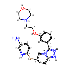 Nc1ccc(Sc2ccc3nnc(-c4cccc(OCCN5CCOCC5)c4)n3c2)nc1